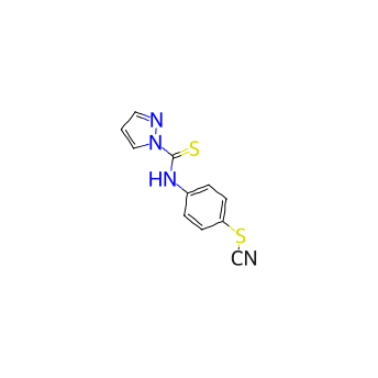 N#CSc1ccc(NC(=S)n2cccn2)cc1